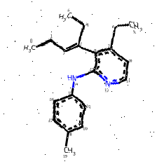 CC/C=C(\CC)c1c(CC)ccnc1Nc1ccc(C)cc1